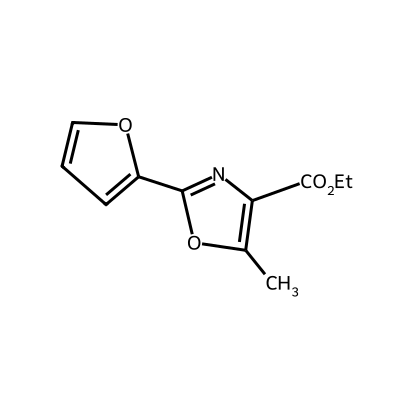 CCOC(=O)c1nc(-c2ccco2)oc1C